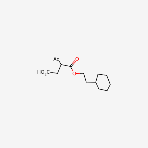 CC(=O)C(CC(=O)O)C(=O)OCCC1CCCCC1